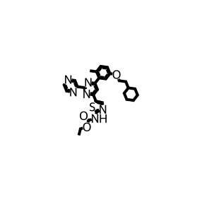 CCOC(=O)Nc1ncc(-c2cc(-c3cc(OCCC4CCCCC4)ccc3C)nc(-c3cnccn3)n2)s1